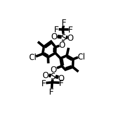 Cc1cc(OS(=O)(=O)C(F)(F)F)c(-c2c(OS(=O)(=O)C(F)(F)F)cc(C)c(Cl)c2C)c(C)c1Cl